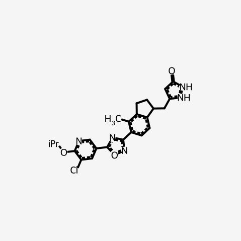 Cc1c(-c2noc(-c3cnc(OC(C)C)c(Cl)c3)n2)ccc2c1CCC2Cc1cc(=O)[nH][nH]1